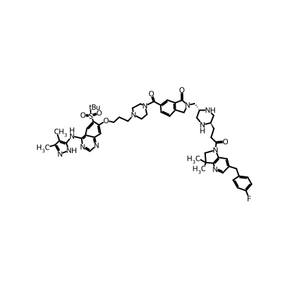 Cc1n[nH]c(Nc2ncnc3cc(OCCCN4CCN(C(=O)c5ccc6c(c5)C(=O)N(C[C@H]5CN[C@H](CCC(=O)N7CC(C)(C)c8ncc(Cc9ccc(F)cc9)cc87)CN5)C6)CC4)c(S(=O)(=O)C(C)(C)C)cc23)c1C